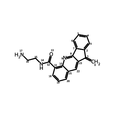 C=C1c2ccccc2-c2nc3c(C(=O)NCCN)cccc3cc21